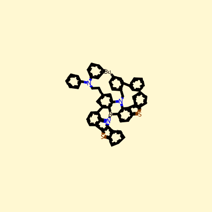 CC(C)(C)c1ccc(CN2c3cc(CCN(c4ccccc4)c4ccccc4)cc4c3B(c3ccc5sc6ccccc6c5c32)n2c3c-4cccc3c3sc4ccccc4c32)c(-c2ccccc2)c1